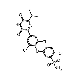 NS(=O)(=O)c1cc(Oc2c(Cl)cc(-n3nc(C(F)F)c(=O)[nH]c3=O)cc2Cl)ccc1O